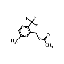 CC(=O)SCc1cc(C)ccc1C(F)(F)F